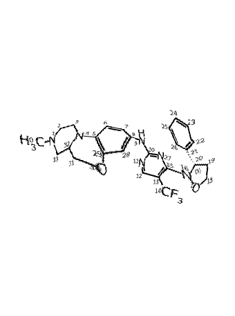 CN1CCN2c3ccc(Nc4ncc(C(F)(F)F)c(N5OCC[C@H]5c5ccccc5)n4)cc3OCC2C1